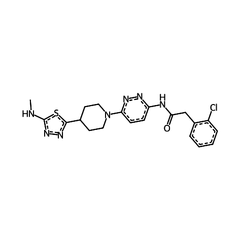 CNc1nnc(C2CCN(c3ccc(NC(=O)Cc4ccccc4Cl)nn3)CC2)s1